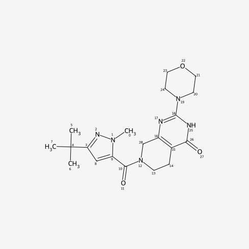 Cn1nc(C(C)(C)C)cc1C(=O)N1CCc2c(nc(N3CCOCC3)[nH]c2=O)C1